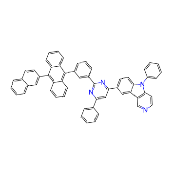 c1ccc(-c2cc(-c3ccc4c(c3)c3cnccc3n4-c3ccccc3)nc(-c3cccc(-c4c5ccccc5c(-c5ccc6ccccc6c5)c5ccccc45)c3)n2)cc1